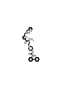 CN(CCN1CCC(OC(=O)Nc2ccccc2-c2ccccc2)CC1)C(=O)c1ccc(CNCc2ccco2)o1